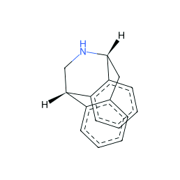 c1ccc2c(c1)C[C@H]1NC[C@@H]2c2ccccc21